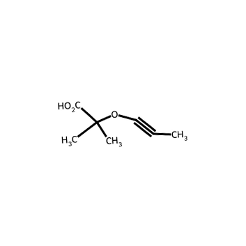 CC#COC(C)(C)C(=O)O